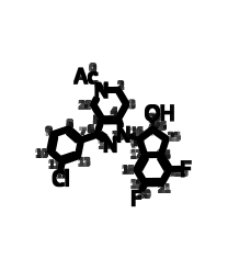 CC(=O)N1CCc2c(c(-c3cccc(Cl)c3)nn2[C@@H]2c3cc(F)cc(F)c3C[C@H]2O)C1